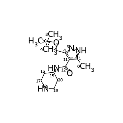 Cc1[nH]nc(COC(C)(C)C)c1C(=O)NC1CCNCC1